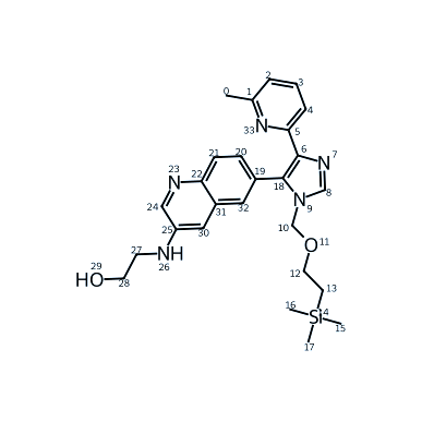 Cc1cccc(-c2ncn(COCC[Si](C)(C)C)c2-c2ccc3ncc(NCCO)cc3c2)n1